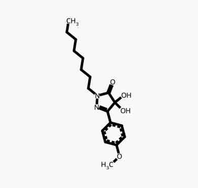 CCCCCCCCN1N=C(c2ccc(OC)cc2)C(O)(O)C1=O